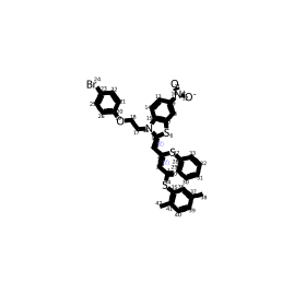 C=C(/C=C(/C=C1\Sc2cc([N+](=O)[O-])ccc2N1CCOc1ccc(Br)cc1)Sc1ccccc1)Sc1cc(C)ccc1C